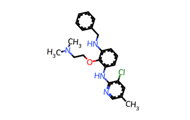 Cc1cnc(Nc2cccc(NCc3ccccc3)c2OCCN(C)C)c(Cl)c1